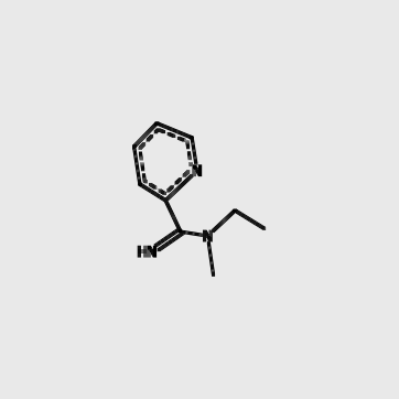 CCN(C)C(=N)c1ccccn1